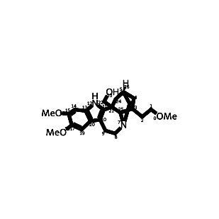 COCCC1C[C@@H]2CN3CCc4c([nH]c5cc(OC)c(OC)cc45)C(CO)(C2)C13